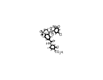 COc1ccc(Cl)cc1S(=O)(=O)N1CCS(=O)(=O)c2ccc(C(=O)Nc3ccc(C(=O)O)c(Cl)c3)cc21